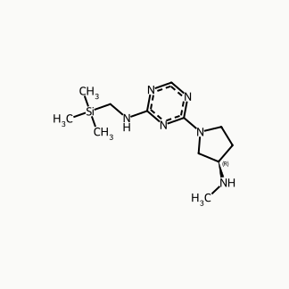 CN[C@@H]1CCN(c2ncnc(NC[Si](C)(C)C)n2)C1